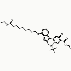 CCOC(=O)CCCCCCCCOc1cccc2c3n(nc12)C[C@@H](C(C)(C)C)n1cc(C(=O)OCC)c(=O)cc1-3